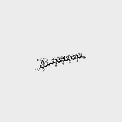 CC(CSSC(C)(C)C)C(=O)NCCCCCC(=O)NC(CC(=O)NC(CC(=O)NC(CC(=O)NC(CC(=O)O)C(=O)O)C(=O)O)C(=O)O)C(=O)O